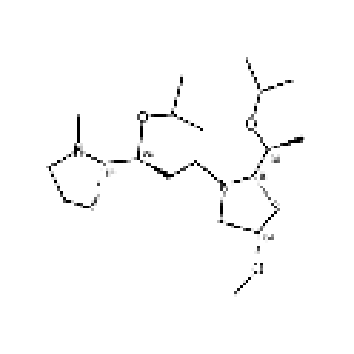 CO[C@H]1C[C@@H]([C@H](C)OC(C)C)N(CC[C@H](OC(C)C)[C@@H]2CCCN2C)C1